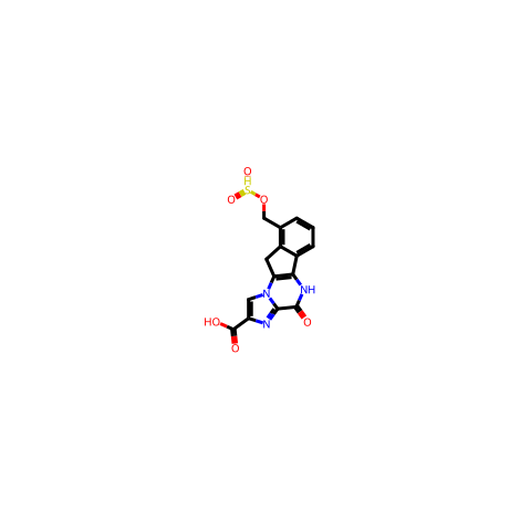 O=C(O)c1cn2c3c([nH]c(=O)c2n1)-c1cccc(CO[SH](=O)=O)c1C3